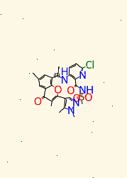 Cc1cc([C@@H](C)Nc2ccc(Cl)nc2C(=O)NS(C)(=O)=O)c2oc(-c3cnn(C)c3C)c(C)c(=O)c2c1